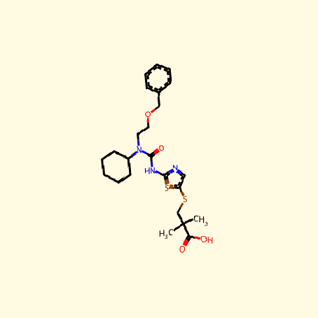 CC(C)(CSc1cnc(NC(=O)N(CCOCc2ccccc2)C2CCCCC2)s1)C(=O)O